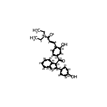 CCN(CC)C(=O)C=Cc1ccc(C(=O)c2c(-c3ccc(O)cc3)sc3ccccc23)cc1O